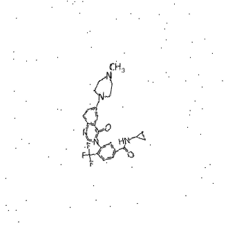 CN1CCN(c2ccc3ncn(-c4cc(C(=O)NC5CC5)ccc4C(F)(F)F)c(=O)c3c2)CC1